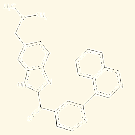 CN(C)Cc1ccc2nc(C(=O)c3ccnc(-c4cncc5ccccc45)c3)[nH]c2c1